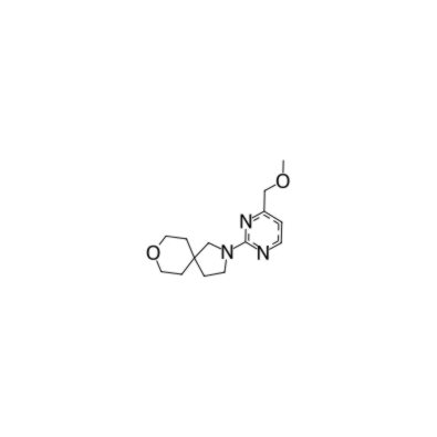 COCc1ccnc(N2CCC3(CCOCC3)C2)n1